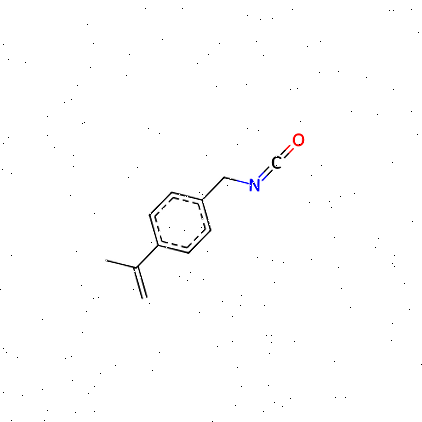 C=C(C)c1ccc(CN=C=O)cc1